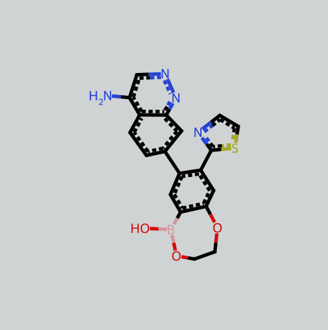 Nc1cnnc2cc(-c3cc4c(cc3-c3nccs3)OCCOB4O)ccc12